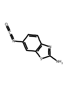 Nc1nc2ccc(N=C=O)cc2s1